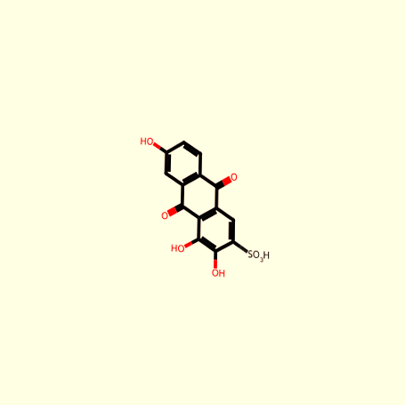 O=C1c2ccc(O)cc2C(=O)c2c1cc(S(=O)(=O)O)c(O)c2O